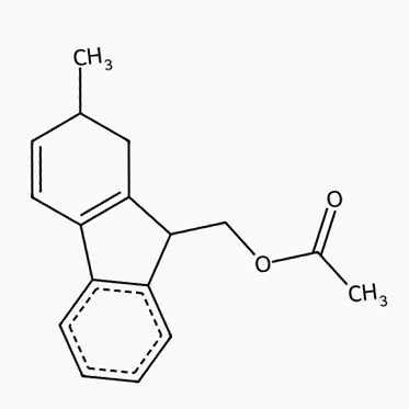 CC(=O)OCC1C2=C(C=CC(C)C2)c2ccccc21